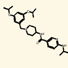 CC(C)Nc1ccc(C(=O)NC2CCN(Cc3cc(OC(C)C)cc(OC(C)C)c3)CC2)cn1